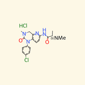 CN[C@@H](C)C(=O)Nc1ccc2c(n1)CN(C)C(=O)N2c1ccc(Cl)cc1.Cl